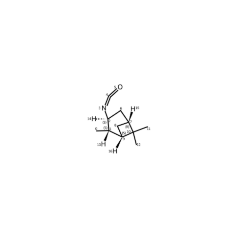 C[C@@H]1[C@@H](N=C=O)C[C@H]2C[C@@H]1C2(C)C